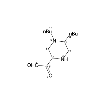 CCCCC1CNC(C(=O)C=O)CN1CCCC